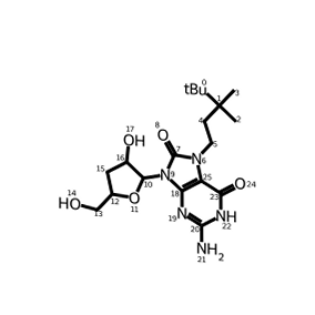 CC(C)(C)C(C)(C)CCn1c(=O)n(C2OC(CO)CC2O)c2nc(N)[nH]c(=O)c21